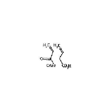 C=CC(=O)OC.C=CCC(=O)O